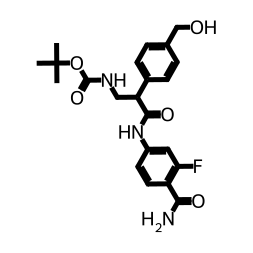 CC(C)(C)OC(=O)NCC(C(=O)Nc1ccc(C(N)=O)c(F)c1)c1ccc(CO)cc1